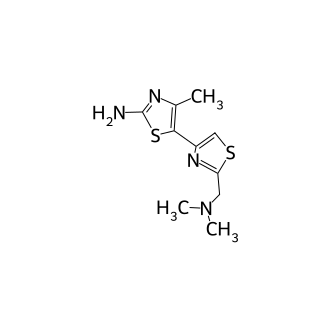 Cc1nc(N)sc1-c1csc(CN(C)C)n1